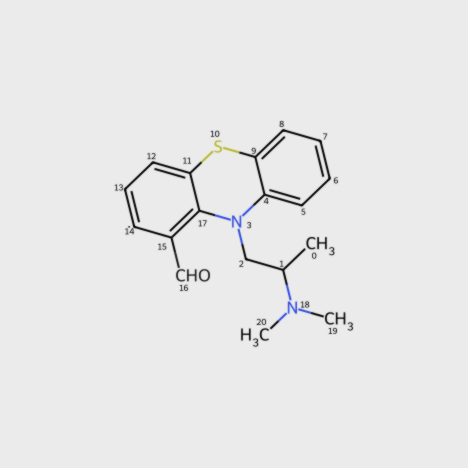 CC(CN1c2ccccc2Sc2cc[c]c(C=O)c21)N(C)C